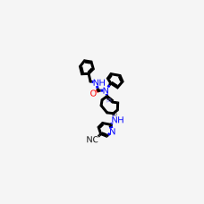 N#Cc1ccc(N[C@H]2CC/C=C(\N(C(=O)NCc3ccccc3)c3ccccc3)CCC2)nc1